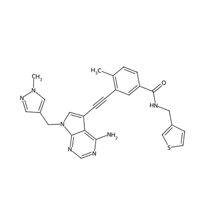 Cc1ccc(C(=O)NCc2ccsc2)cc1C#Cc1cn(Cc2cnn(C)c2)c2ncnc(N)c12